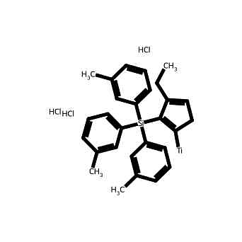 CCC1=CC[C]([Ti])=C1[Si](c1cccc(C)c1)(c1cccc(C)c1)c1cccc(C)c1.Cl.Cl.Cl